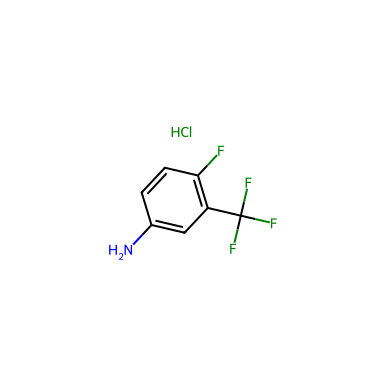 Cl.Nc1ccc(F)c(C(F)(F)F)c1